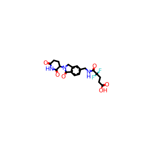 O=C(O)CCC(F)(F)C(=O)NCc1ccc2c(c1)CN(C1CCC(=O)NC1=O)C2=O